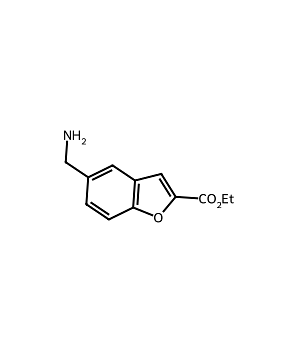 CCOC(=O)c1cc2cc(CN)ccc2o1